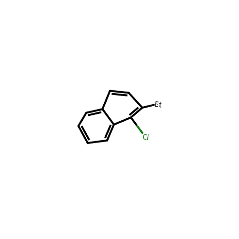 CCc1ccc2ccccc2c1Cl